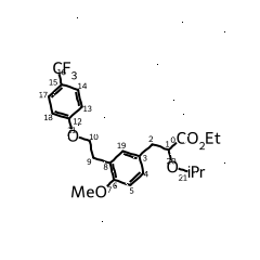 CCOC(=O)C(Cc1ccc(OC)c(CCOc2ccc(C(F)(F)F)cc2)c1)OC(C)C